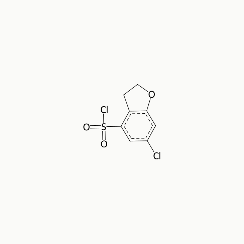 O=S(=O)(Cl)c1cc(Cl)cc2c1CCO2